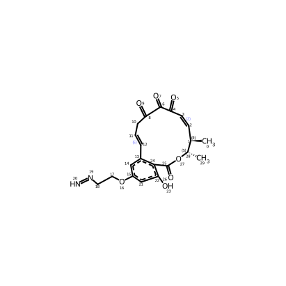 C[C@@H]1/C=C\C(=O)C(=O)C(=O)C/C=C/c2cc(OCCN=N)cc(O)c2C(=O)O[C@H]1C